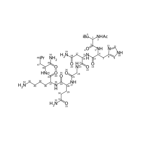 CCC(C)C(NC(C)=O)C(=O)NC(Cc1c[nH]cn1)C(=O)NC(CC(N)=O)C(=O)NCC(=O)NC(CCC(N)=O)C(=O)NC(CCCCN)C(=O)NC(CC(C)C)C(N)=O